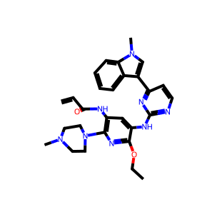 C=CC(=O)Nc1cc(Nc2nccc(-c3cn(C)c4ccccc34)n2)c(OCC)nc1N1CCN(C)CC1